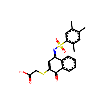 Cc1cc(C)c(S(=O)(=O)/N=C2/C=C(SCC(=O)O)C(=O)c3ccccc32)cc1C